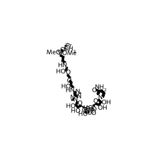 CO[Si](CCCCNCC(O)OCCOCC(O)CNc1ncnc2c1ncn2[C@H]1O[C@@H](COP(=O)(O)OP(=O)(O)OC[C@H]2O[C@@H]([n+]3cccc(C(N)=O)c3)[C@@H](O)C2O)[C@@H](O)C1O)(OC)O[SiH2]C(C)C